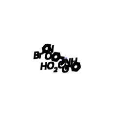 O=C(O)/C(=C\c1ccc(Oc2ncccc2Br)cc1)NC(=O)c1ccccc1